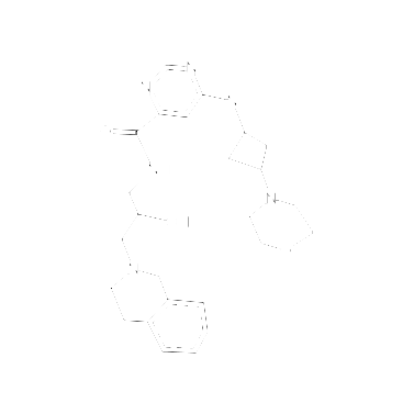 O=C(NCC(O)CN1CCc2ccccc2C1)c1cc(NC2CC(N3CCOCC3)C2)ncn1